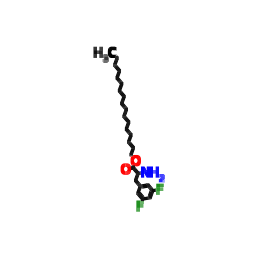 CCCCCCCCCCCCCCCCCOC(=O)[C@@H](N)Cc1cc(F)cc(F)c1